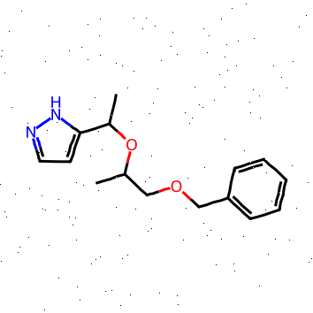 CC(COCc1ccccc1)OC(C)c1ccn[nH]1